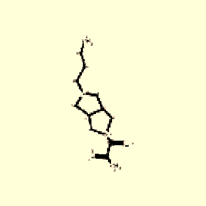 C=C(C)C(=O)N1CC2CN(CCCC)CC2C1